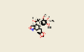 COc1cc([C@@H]2C3C=C4OCOC4=CC3C3=NOC[C@H]3[C@@H]2C(=O)C(C)(C)C)cc(OC)c1OC